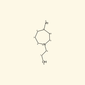 CC(C)C1CCCN(CCO)CC1